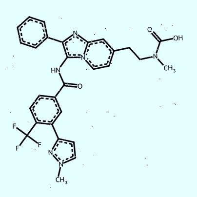 CN(CCc1ccn2c(NC(=O)c3ccc(C(F)(F)F)c(-c4ccn(C)n4)c3)c(-c3ccccc3)nc2c1)C(=O)O